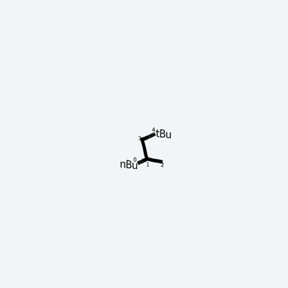 CCCCC(C)CC(C)(C)C